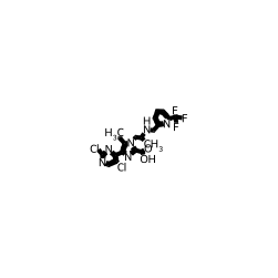 CCc1c(-c2nc(Cl)ncc2Cl)nc(C(=O)O)n1CC(C)NCc1cccc(C(F)(F)F)n1